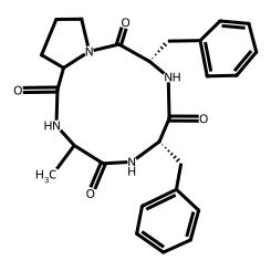 CC1NC(=O)C2CCCN2C(=O)[C@H](Cc2ccccc2)NC(=O)[C@H](Cc2ccccc2)NC1=O